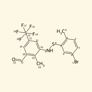 Cc1ccc(Br)cc1SNc1cc(S(F)(F)(F)(F)F)cc(C=O)c1C